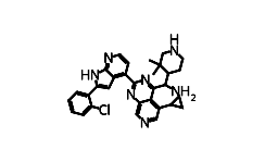 CC1(C)CNCCC1C(N)c1nc(-c2ccnc3[nH]c(-c4ccccc4Cl)cc23)nc2cncc(C3CC3)c12